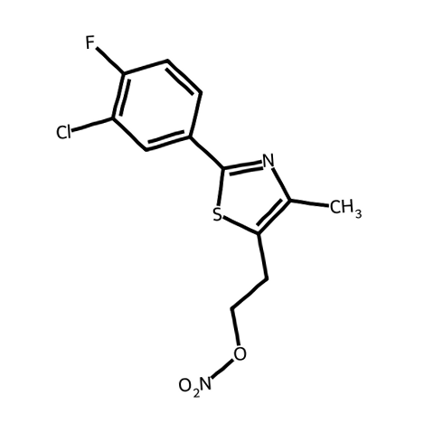 Cc1nc(-c2ccc(F)c(Cl)c2)sc1CCO[N+](=O)[O-]